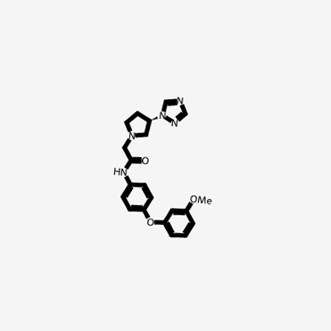 COc1cccc(Oc2ccc(NC(=O)CN3CC[C@H](n4cncn4)C3)cc2)c1